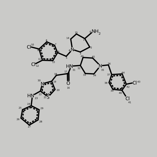 NC1CCN(Cc2ccc(Cl)c(Cl)c2)CC1.O=C(Cc1csc(Nc2ccccc2)n1)NC1CCN(Cc2ccc(Cl)c(Cl)c2)CC1